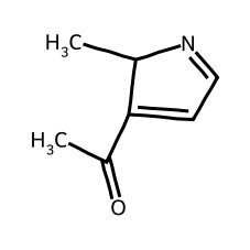 CC(=O)C1=CC=NC1C